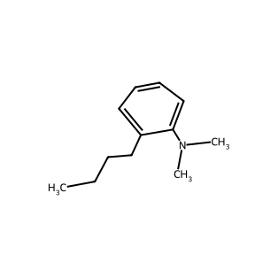 CCCCc1ccccc1N(C)C